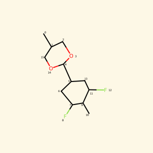 CC1COC(C2CC(F)C(C)C(F)C2)OC1